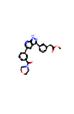 COC(=O)Cc1cccc(-c2n[nH]c3ncc(-c4cccc(C(=O)N5CCOCC5)c4)cc23)c1